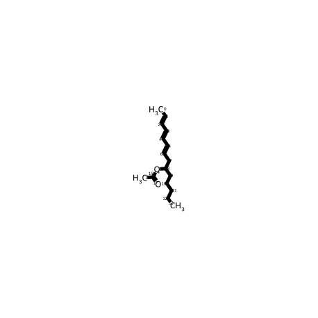 C/C=C/C=C/C=C/CC(CCCCC)OC(C)=O